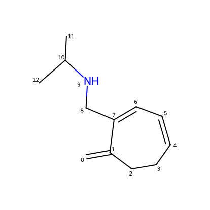 C=C1CCC=CC=C1CNC(C)C